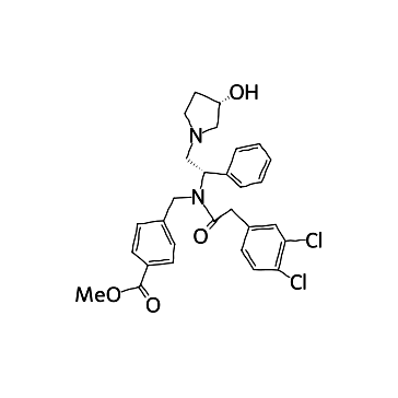 COC(=O)c1ccc(CN(C(=O)Cc2ccc(Cl)c(Cl)c2)[C@H](CN2CC[C@H](O)C2)c2ccccc2)cc1